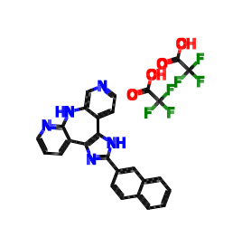 O=C(O)C(F)(F)F.O=C(O)C(F)(F)F.c1cnc2c(c1)-c1nc(-c3ccc4ccccc4c3)[nH]c1-c1ccncc1N2